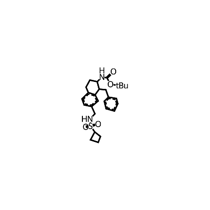 CC(C)(C)OC(=O)NC1CCc2ccc(CNS(=O)(=O)C3CCC3)cc2C1Cc1ccccc1